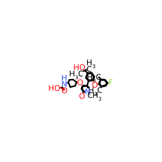 Cc1cc(F)cc(C)c1Oc1ccc(C(C)(C)O)cc1-c1cn(C)c(=O)cc1OC1CCC(NC(=O)O)CC1